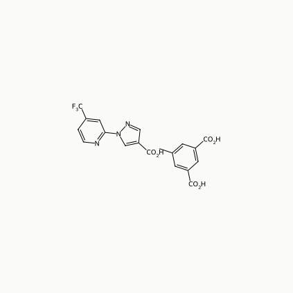 Cc1cc(C(=O)O)cc(C(=O)O)c1.O=C(O)c1cnn(-c2cc(C(F)(F)F)ccn2)c1